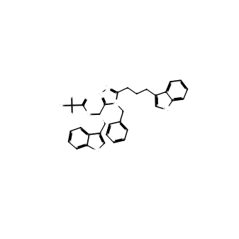 CC(C)(N)C(=O)N[C@H](Cc1c[nH]c2ccccc12)c1nnc(CCCc2c[nH]c3ccccc23)n1Cc1ccccc1